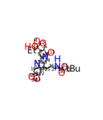 CC[C@@]1(O)C(=O)OCc2c1cc1n(c2=O)Cc2c-1nc1cc3c(cc1c2/C=C/CNC(=O)OC(C)(C)C)OCO3